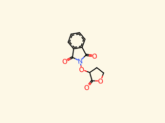 O=C1OCCC1ON1C(=O)c2ccccc2C1=O